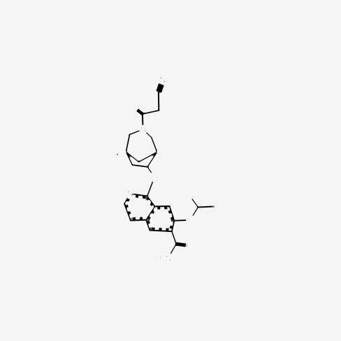 CC(C)Oc1cc2c(OC3C[C@@H]4C[C@H]3CN(C(=O)CC#N)C4)nccc2cc1C(N)=O